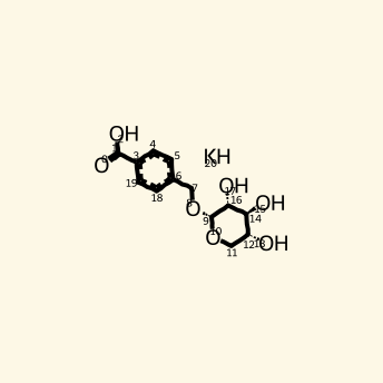 O=C(O)c1ccc(CO[C@H]2OC[C@@H](O)[C@H](O)[C@H]2O)cc1.[KH]